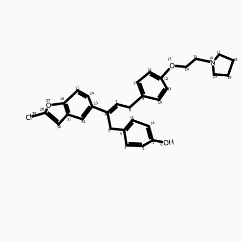 Oc1ccc(CC(=CCc2ccc(OCCN3CCCC3)cc2)c2ccc3oc(Cl)cc3c2)cc1